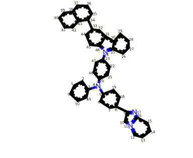 c1ccc(N(c2ccc(-c3cn4ccccc4n3)cc2)c2ccc(-n3c4ccccc4c4cc(-c5cccc6ccccc56)ccc43)cc2)cc1